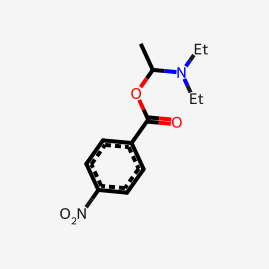 CCN(CC)C(C)OC(=O)c1ccc([N+](=O)[O-])cc1